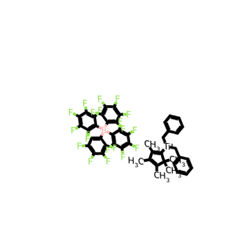 CC1=C(C)C(C)(C)[C]([Ti+]([CH2]c2ccccc2)[CH2]c2ccccc2)=C1C.Fc1c(F)c(F)c([B-](c2c(F)c(F)c(F)c(F)c2F)(c2c(F)c(F)c(F)c(F)c2F)c2c(F)c(F)c(F)c(F)c2F)c(F)c1F